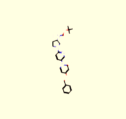 CC(C)(C)OC(=O)N[C@@H]1CCN(c2ccc(-n3ccc(OCc4ccccc4)cc3=O)cn2)C1